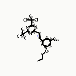 CCCOc1cc(/C=C/c2nc(C(Cl)(Cl)Cl)nc(C(Cl)(Cl)Cl)n2)cc(OC)c1